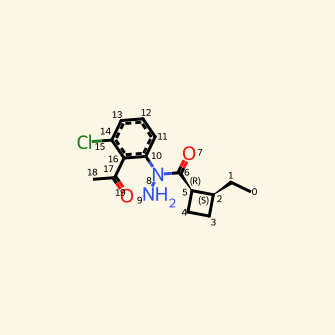 CC[C@H]1CC[C@H]1C(=O)N(N)c1cccc(Cl)c1C(C)=O